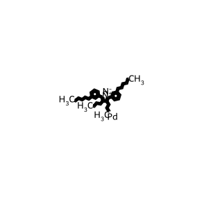 CCCCCCc1cccc(C2=C(CCCC)C(CCCC)=C(c3cccc(CCCCCC)c3)[N+]2=[N-])c1.[Pd]